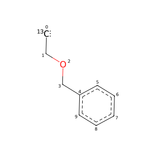 [13C]COCc1ccccc1